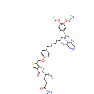 CC(CCC(=O)NC=O)N1Cc2c(csc2COc2ccc(CCCCCCCN(C(=O)c3ccc(OC(F)F)c(OCC4CC4)c3)c3c(Cl)cncc3Cl)cc2)C1=O